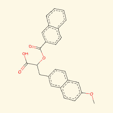 COc1ccc2cc(CC(OC(=O)c3ccc4ccccc4c3)C(=O)O)ccc2c1